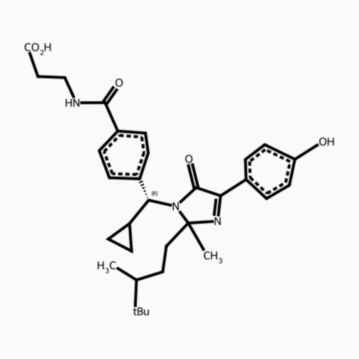 CC(CCC1(C)N=C(c2ccc(O)cc2)C(=O)N1[C@@H](c1ccc(C(=O)NCCC(=O)O)cc1)C1CC1)C(C)(C)C